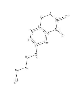 CN1C(=O)CCc2ccc(OCCCCl)cc21